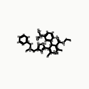 CCOC(=O)C1=C(C)NC(C)=C(c2nc(CN(C)Cc3ccccc3)no2)C1c1cccc([N+](=O)[O-])c1